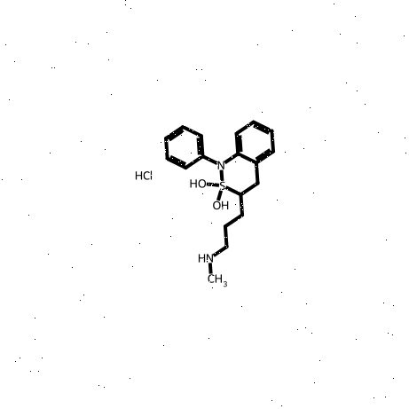 CNCCCC1Cc2ccccc2N(c2ccccc2)S1(O)O.Cl